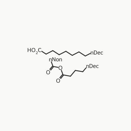 CCCCCCCCCCCCCC(=O)OC(=O)CCCCCCCCC.CCCCCCCCCCCCCCCCCC(=O)O